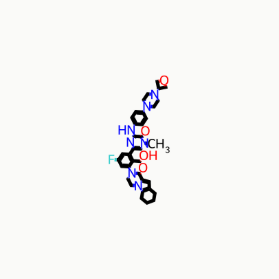 Cn1cc(-c2cc(F)cc(N3CCn4c(cc5c4CCCC5)C3=O)c2CO)nc(Nc2ccc(N3CCN(C4COC4)CC3)cc2)c1=O